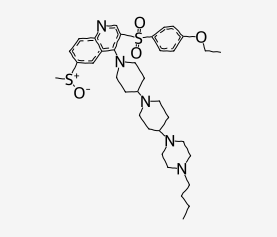 CCCCN1CCN(C2CCN(C3CCN(c4c(S(=O)(=O)c5ccc(OCC)cc5)cnc5ccc([S+](C)[O-])cc45)CC3)CC2)CC1